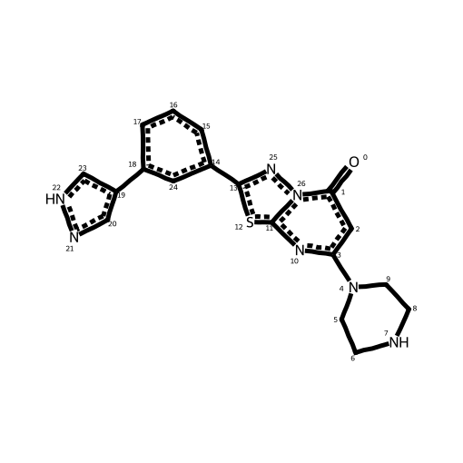 O=c1cc(N2CCNCC2)nc2sc(-c3cccc(-c4cn[nH]c4)c3)nn12